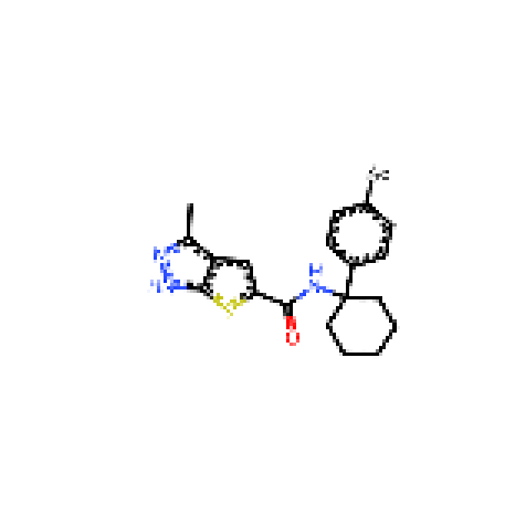 CC(=O)c1ccc(C2(NC(=O)c3cc4c(C)n[nH]c4s3)CCCCC2)cc1